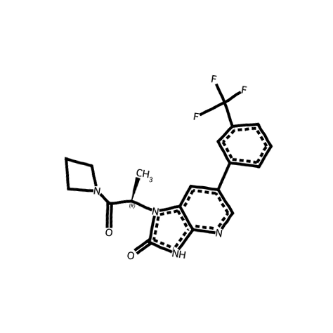 C[C@H](C(=O)N1CCC1)n1c(=O)[nH]c2ncc(-c3cccc(C(F)(F)F)c3)cc21